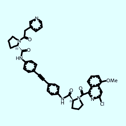 COc1cccc2c(C(=O)N3CCC[C@H]3C(=O)Nc3ccc(C#Cc4ccc(NC(=O)[C@@H]5CCCN5C(=O)Cc5cccnc5)cc4)cc3)nc(Cl)cc12